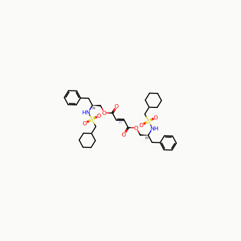 O=C(/C=C/C(=O)OC[C@H](Cc1ccccc1)NS(=O)(=O)CC1CCCCC1)OC[C@H](Cc1ccccc1)NS(=O)(=O)CC1CCCCC1